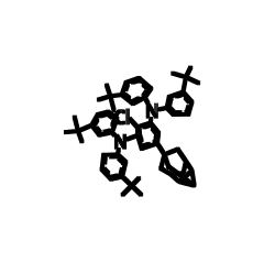 CC(C)(C)c1cccc(N(c2cccc(C(C)(C)C)c2)c2cc(C34CC5CC(C3)C3C(C4)C53)cc(N(c3cccc(C(C)(C)C)c3)c3cccc(C(C)(C)C)c3)c2Cl)c1